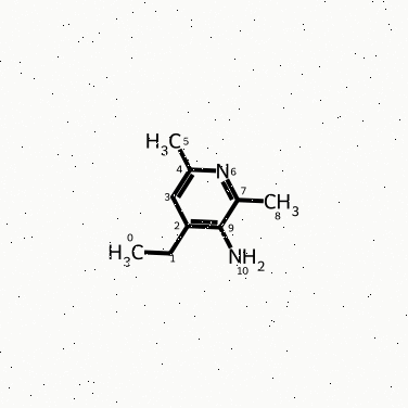 CCc1cc(C)nc(C)c1N